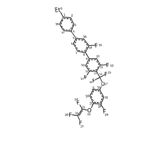 CCc1ccc(-c2ccc(-c3cc(F)c(C(F)(F)Oc4ccc(OC(F)=C(F)F)c(F)c4)c(F)c3)c(F)c2)cc1